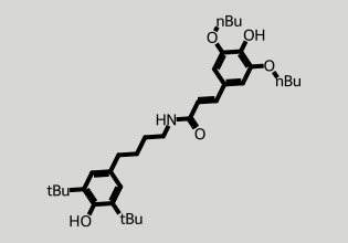 CCCCOc1cc(C=CC(=O)NCCCCc2cc(C(C)(C)C)c(O)c(C(C)(C)C)c2)cc(OCCCC)c1O